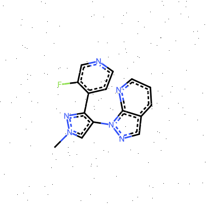 Cn1cc(-n2ncc3cccnc32)c(-c2ccncc2F)n1